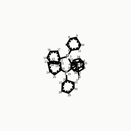 F[C]12[CH]3[CH]4[C]5(P(c6ccccc6)c6ccccc6)[C]1(P(c1ccccc1)c1ccccc1)[Fe]34251678[CH]2[CH]1[CH]6[CH]7[CH]28